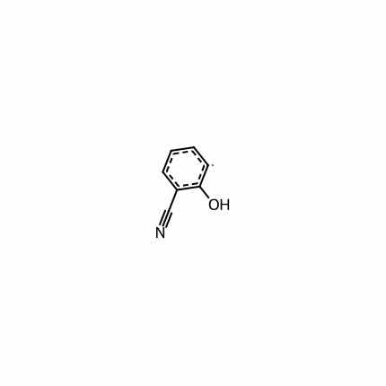 N#Cc1ccc[c]c1O